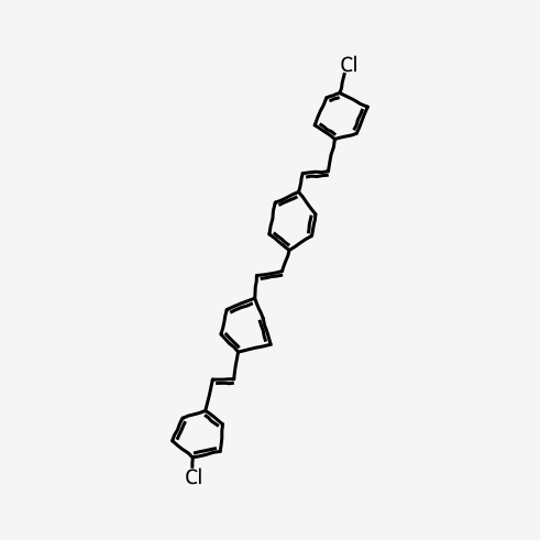 Clc1ccc(C=Cc2ccc(C=Cc3ccc(C=Cc4ccc(Cl)cc4)cc3)cc2)cc1